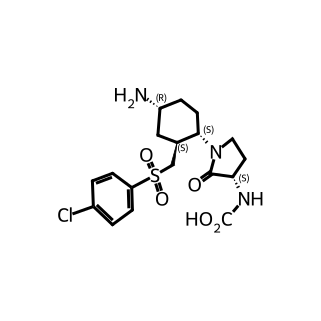 N[C@@H]1CC[C@H](N2CC[C@H](NC(=O)O)C2=O)[C@@H](CS(=O)(=O)c2ccc(Cl)cc2)C1